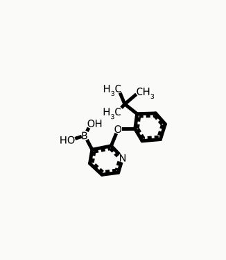 CC(C)(C)c1ccccc1Oc1ncccc1B(O)O